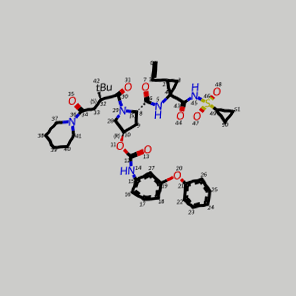 C=CC1CC1(NC(=O)[C@@H]1C[C@@H](OC(=O)Nc2cccc(Oc3ccccc3)c2)CN1C(=O)[C@@H](CC(=O)N1CCCCC1)C(C)(C)C)C(=O)NS(=O)(=O)C1CC1